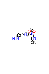 Nc1cccc(CCN2CCC3(CC2)CN(Cc2ccc(C(F)(F)F)cn2)C(=O)C2(CC2)O3)c1